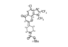 Cn1c(C(F)(F)F)nc2c(Cl)cc3c(=O)cc(C4CCN(C(=O)OC(C)(C)C)CC4)oc3c21